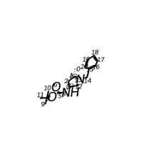 C[C@H]1C[C@H](NC(=O)OC(C)(C)C)CN1Cc1ccccc1